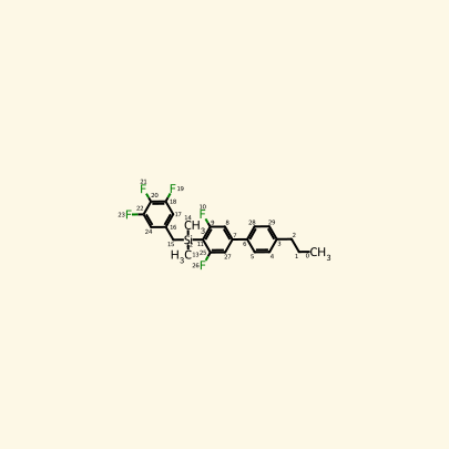 CCCc1ccc(-c2cc(F)c([Si](C)(C)Cc3cc(F)c(F)c(F)c3)c(F)c2)cc1